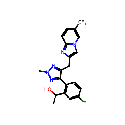 C[C@@H](O)c1cc(F)ccc1-c1nn(C)nc1Cc1cn2cc(C(F)(F)F)ccc2n1